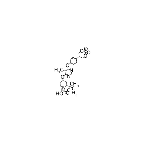 Cc1c(Oc2ccc(C3COS(=O)(=O)OC3)cc2)ncnc1OC1CCN(C(=O)O)C(C(C)(C)C)C1